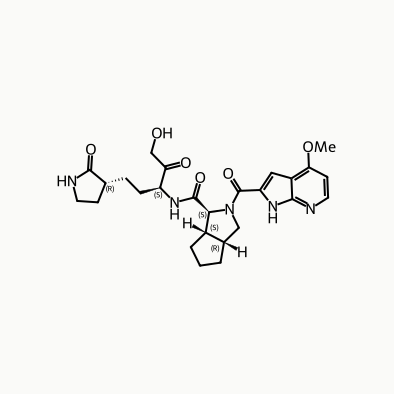 COc1ccnc2[nH]c(C(=O)N3C[C@@H]4CCC[C@@H]4[C@H]3C(=O)N[C@@H](CC[C@@H]3CCNC3=O)C(=O)CO)cc12